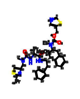 CCN(C(=O)OCc1cncs1)[C@@H](Cc1ccccc1)[C@H](C[C@H](Cc1ccccc1)NC(=O)[C@@H](NC(=O)N(C)Cc1csc(C(C)C)n1)C(C)C)OC